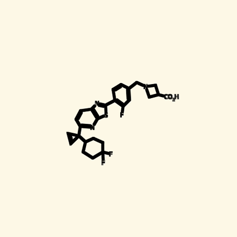 O=C(O)C1CN(Cc2ccc(-c3nc4ccc(C5(C6CCC(F)(F)CC6)C=C5)nc4s3)c(F)c2)C1